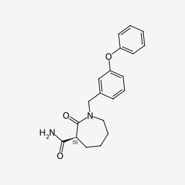 NC(=O)[C@@H]1CCCCN(Cc2cccc(Oc3ccccc3)c2)C1=O